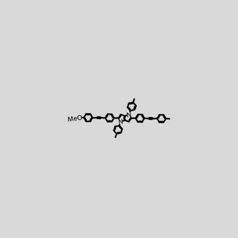 COc1ccc(C#Cc2ccc(-c3cc4c(cc(-c5ccc(C#Cc6ccc(C)cc6)cc5)n4-c4ccc(C)cc4)n3-c3ccc(C)cc3)cc2)cc1